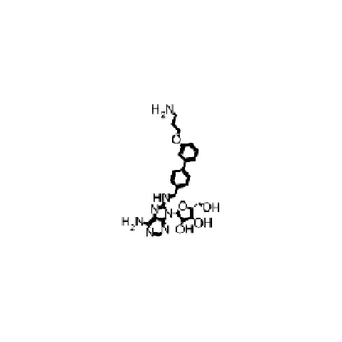 NCCCOc1cccc(-c2ccc(CNc3nc4c(N)ncnc4n3[C@@H]3O[C@H](CO)[C@@H](O)[C@@H]3O)cc2)c1